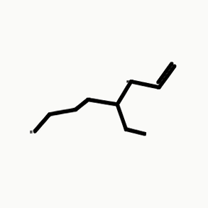 [CH2]CCCC([CH]C=C)CC